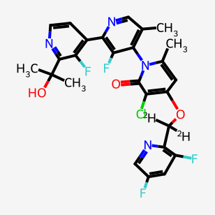 [2H]C([2H])(Oc1cc(C)n(-c2c(C)cnc(-c3ccnc(C(C)(C)O)c3F)c2F)c(=O)c1Cl)c1ncc(F)cc1F